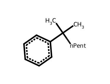 CCCCCC(C)(C)c1ccccc1